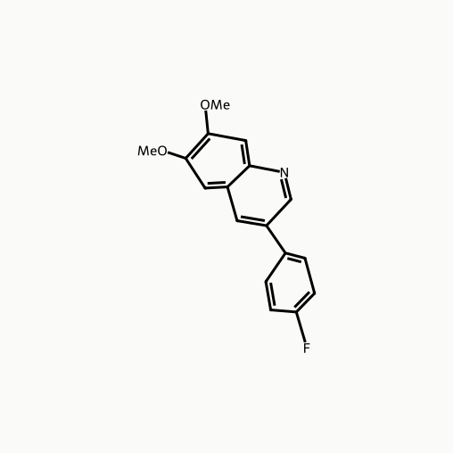 COc1cc2cc(-c3ccc(F)cc3)cnc2cc1OC